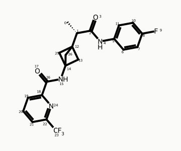 C[C@H](C(=O)Nc1ccc(F)cc1)C12CC(NC(=O)c3cccc(C(F)(F)F)n3)(C1)C2